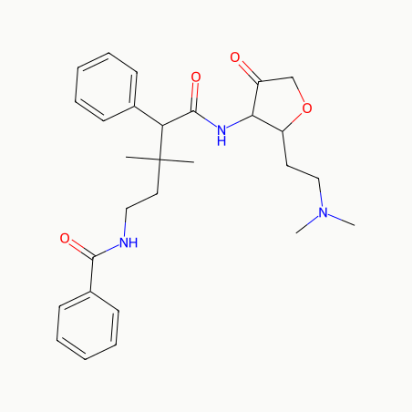 CN(C)CCC1OCC(=O)C1NC(=O)C(c1ccccc1)C(C)(C)CCNC(=O)c1ccccc1